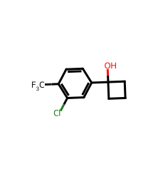 OC1(c2ccc(C(F)(F)F)c(Cl)c2)CCC1